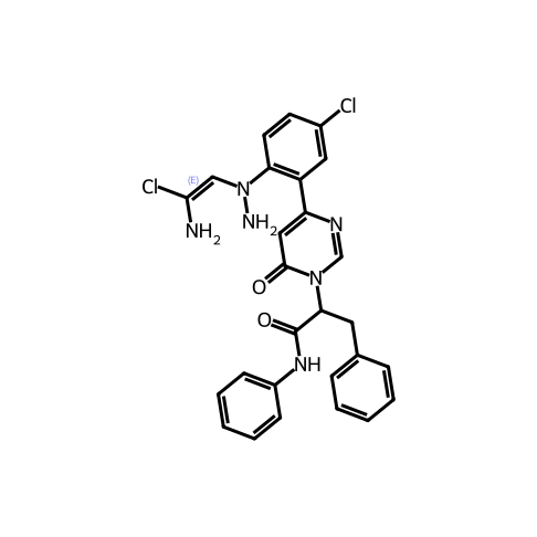 N/C(Cl)=C\N(N)c1ccc(Cl)cc1-c1cc(=O)n(C(Cc2ccccc2)C(=O)Nc2ccccc2)cn1